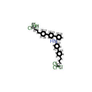 Cl[Si](Cl)(Cl)CCCc1ccc(-c2ccc(Nc3ccccc3-c3ccc(-c4ccc(CCC[Si](Cl)(Cl)Cl)cc4)cc3)cc2)cc1